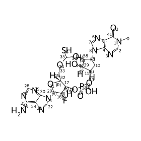 Cn1cnc2c(ncn2[C@@H]2C[C@@H]3OP(=O)(O)O[C@H]4[C@@H](F)[C@H](n5cnc6c(N)ncnc65)O[C@@H]4COC(S)O[C@@H]2[C@@H]3O)c1=O